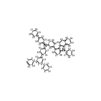 c1ccc(-c2cc(-c3ccccc3)cc(-c3ccc(N(c4ccc(-c5ccccc5)cc4)C4C=C(c5cccc6c5c5ccc7ccccc7c5n6-c5ccccc5)C=CC4)cc3)c2)cc#1